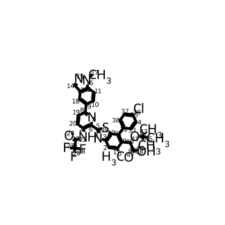 Cc1cc2nc(-c3nc(-c4ccc5c(cnn5C)c4)ccc3NC(=O)C(F)(F)F)sc2c(-c2ccc(Cl)cc2)c1C(OC(C)(C)C)C(=O)O